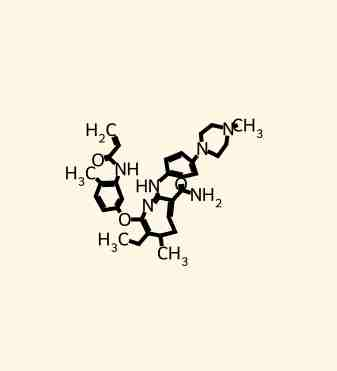 C=CC(=O)Nc1cc(OC2=C(\CC)C(C)C/C=C(C(N)=O)/C(Nc3ccc(N4CCN(C)CC4)cc3)=N\2)ccc1C